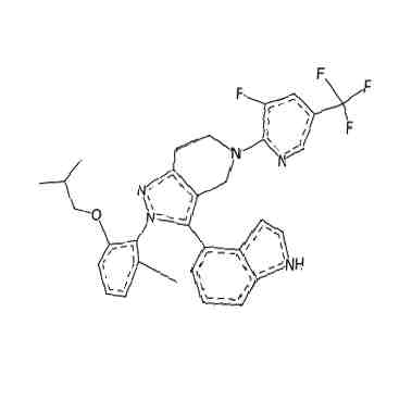 Cc1cccc(OCC(C)C)c1-n1nc2c(c1-c1cccc3[nH]ccc13)CN(c1ncc(C(F)(F)F)cc1F)CC2